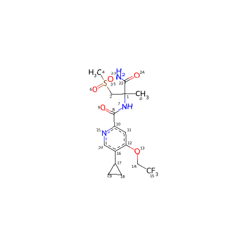 CC(CS(C)(=O)=O)(NC(=O)c1cc(OCC(F)(F)F)c(C2CC2)cn1)C(N)=O